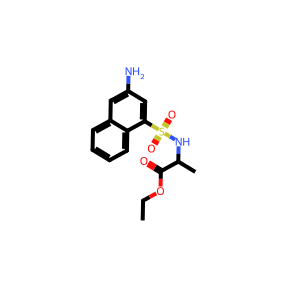 CCOC(=O)C(C)NS(=O)(=O)c1cc(N)cc2ccccc12